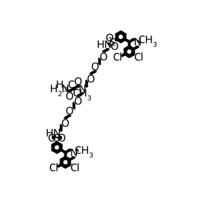 CN1Cc2c(Cl)cc(Cl)cc2C(c2cccc(S(=O)(=O)NCCOCCOCCOCCN(CCOCCOCCOCCNS(=O)(=O)c3cccc(C4CN(C)Cc5c(Cl)cc(Cl)cc54)c3)C(=O)C(C)(C)C(N)=O)c2)C1